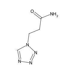 NC(=O)CCn1[c]nnn1